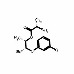 C[C@H](N)C(=O)O[C@@H](C)[C@H](Oc1cccc(Cl)c1)C(C)(C)C